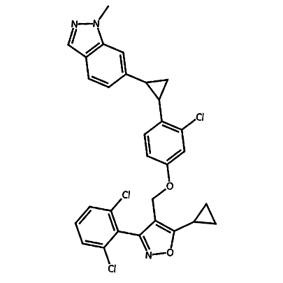 Cn1ncc2ccc(C3CC3c3ccc(OCc4c(-c5c(Cl)cccc5Cl)noc4C4CC4)cc3Cl)cc21